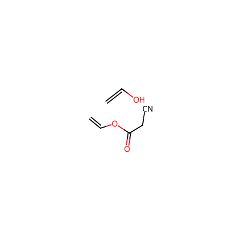 C=CO.C=COC(=O)CC#N